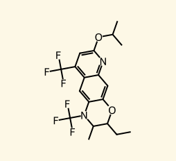 CCC1Oc2cc3nc(OC(C)C)cc(C(F)(F)F)c3cc2N(C(F)(F)F)C1C